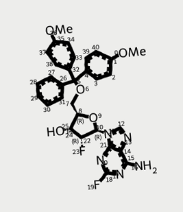 COc1ccc(C(OC[C@H]2O[C@@H](n3cnc4c(N)nc(F)nc43)[C@H](F)[C@@H]2O)(c2ccccc2)c2ccc(OC)cc2)cc1